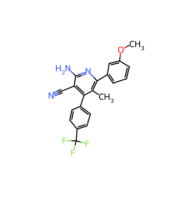 COc1cccc(-c2nc(N)c(C#N)c(-c3ccc(C(F)(F)F)cc3)c2C)c1